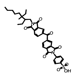 CCCCCC(C)(CC)C(CC)CN1C(=O)c2ccc(C(=O)c3ccc4c(c3)C(=O)N(c3ccc(S(=O)(=O)O)cc3)C4=O)cc2C1=O